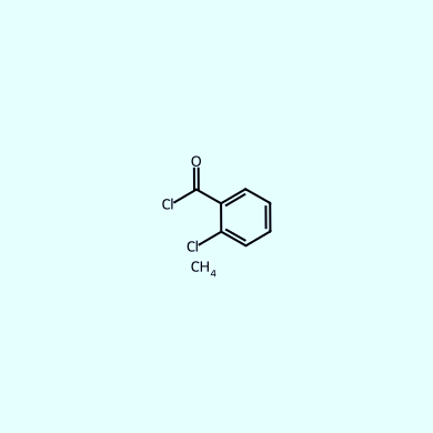 C.O=C(Cl)c1ccccc1Cl